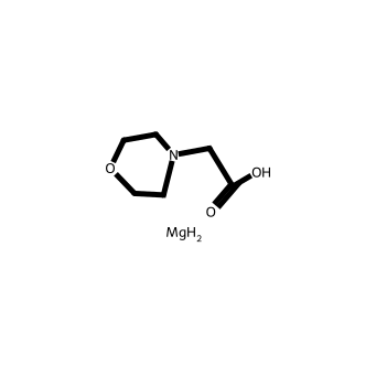 O=C(O)CN1CCOCC1.[MgH2]